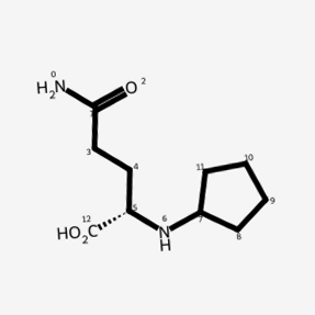 NC(=O)CC[C@H](NC1CCCC1)C(=O)O